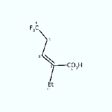 CCC(=CCC(F)(F)F)C(=O)O